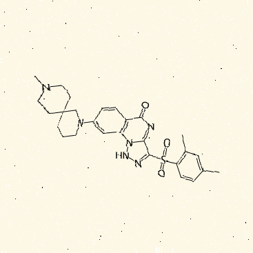 Cc1ccc(S(=O)(=O)c2n[nH]n3c2nc(=O)c2ccc(N4CCCC5(CCN(C)CC5)C4)cc23)c(C)c1